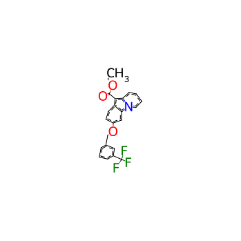 CCOC(=O)c1c2ccc(OCc3cccc(C(F)(F)F)c3)cc2n2ccccc12